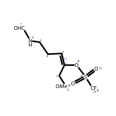 COC/C(=C\CCNC=O)OS(=O)(=O)C(F)(F)F